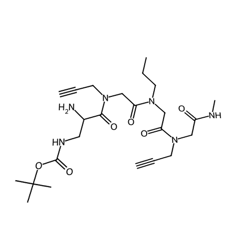 C#CCN(CC(=O)NC)C(=O)CN(CCC)C(=O)CN(CC#C)C(=O)C(N)CNC(=O)OC(C)(C)C